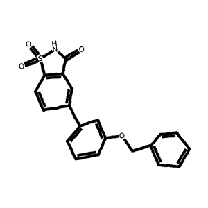 O=C1NS(=O)(=O)c2ccc(-c3cccc(OCc4ccccc4)c3)cc21